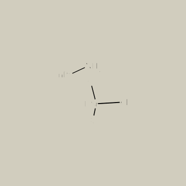 CCCN.Cl[SiH](Cl)Cl